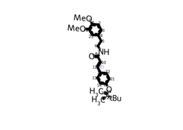 COc1ccc([CH]CNC(=O)/C=C/c2ccc(O[Si](C)(C)C(C)(C)C)cc2)cc1OC